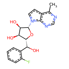 Cc1ncnc2c1ccn2[C@@H]1O[C@H](C(O)c2ccccc2F)[C@@H](O)[C@H]1O